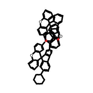 c1ccc2c(c1)Oc1ccc(N(c3ccc4c(c3)C3(c5ccccc5O4)c4cc(C5CCCCC5)ccc4-c4ccc(C5CCCCC5)cc43)c3cccc4oc5ccccc5c34)cc1C21c2ccccc2-c2ccccc21